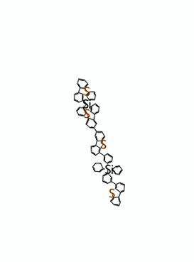 C1=CCCC([Si](c2ccccc2)(c2cccc(-c3cccc4c3sc3ccccc34)c2)c2cccc(-c3cccc4c3sc3ccc(-c5ccc6sc7c([Si](c8ccccc8)(c8ccccc8)c8cccc9c8sc8ccccc89)cccc7c6c5)cc34)c2)=C1